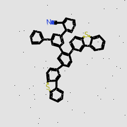 N#Cc1ccccc1-c1cc(-c2ccccc2)cc(-c2cc(-c3ccc4sc5ccccc5c4c3)ccc2-c2ccc3sc4ccccc4c3c2)c1